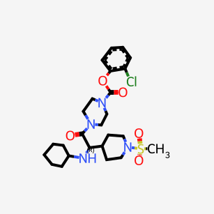 CS(=O)(=O)N1CCC([C@@H](NC2CCCCC2)C(=O)N2CCN(C(=O)Oc3ccccc3Cl)CC2)CC1